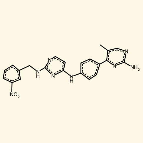 Cc1cnc(N)nc1-c1ccc(Nc2ccnc(NCc3cccc([N+](=O)[O-])c3)n2)cc1